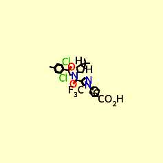 Cc1cc(Cl)c(C(=O)CN(C(=O)c2cnn(C34CCC(C(=O)O)(CC3)CC4)c2C(F)(F)F)[C@@H]2C[C@@H]3[C@H](C2)C3(C)C)c(Cl)c1